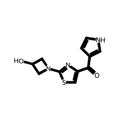 O=C(c1cc[nH]c1)c1csc(N2CC(O)C2)n1